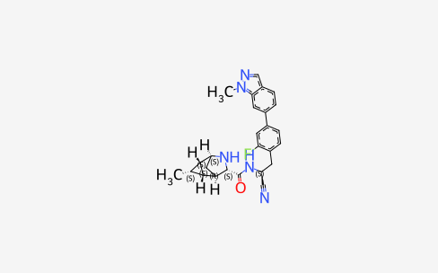 C[C@H]1[C@H]2[C@H]3C[C@H](N[C@@H]3C(=O)N[C@H](C#N)Cc3ccc(-c4ccc5cnn(C)c5c4)cc3F)[C@@H]12